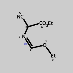 CCO/C=N\C(C#N)C(=O)OCC